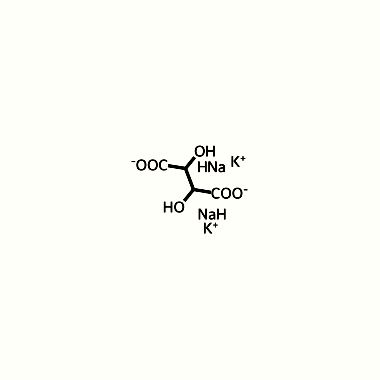 O=C([O-])C(O)C(O)C(=O)[O-].[K+].[K+].[NaH].[NaH]